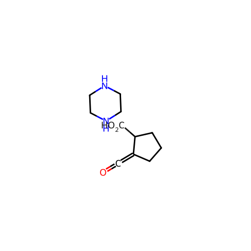 C1CNCCN1.O=C=C1CCCC1C(=O)O